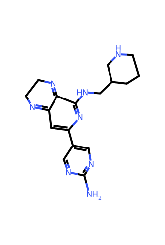 Nc1ncc(-c2cc3c(c(NCC4CCCNC4)n2)=NCCN=3)cn1